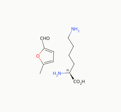 Cc1ccc(C=O)o1.NCCCC[C@H](N)C(=O)O